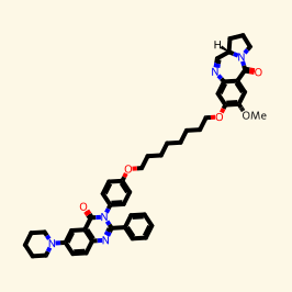 COc1cc2c(cc1OCCCCCCCCOc1ccc(-n3c(-c4ccccc4)nc4ccc(N5CCCCC5)cc4c3=O)cc1)N=C[C@@H]1CCCN1C2=O